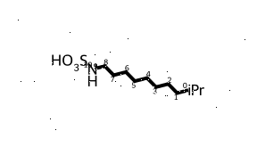 CC(C)CCCCCCCCNS(=O)(=O)O